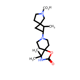 CC1C(N2CCC3(CC2)OC(=O)NC3(C)C)CC12CCN(C(=O)O)C2